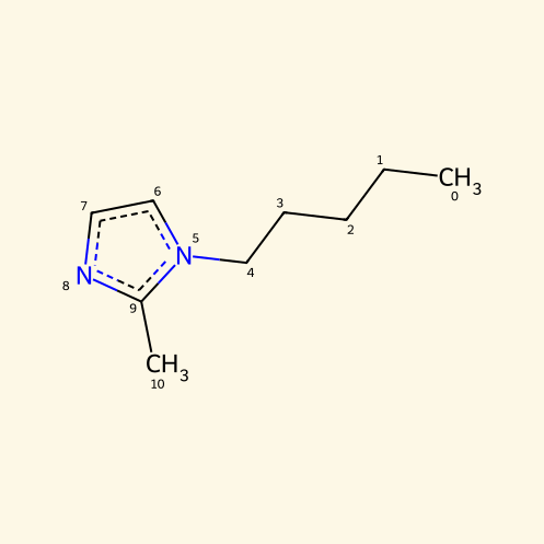 CCCCCn1ccnc1C